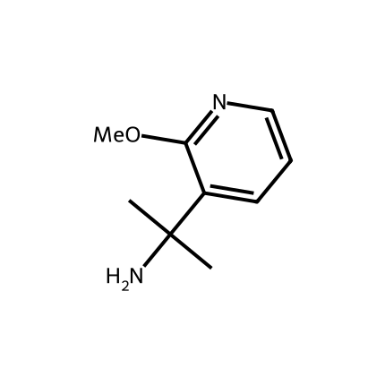 COc1ncccc1C(C)(C)N